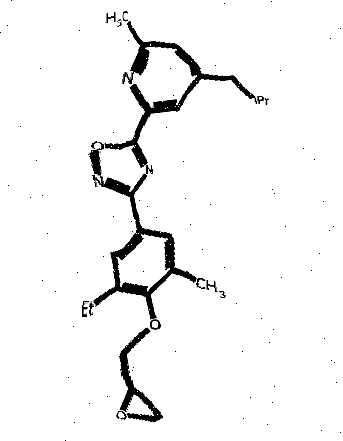 CCc1cc(-c2noc(-c3cc(CC(C)C)cc(C)n3)n2)cc(C)c1OCC1CO1